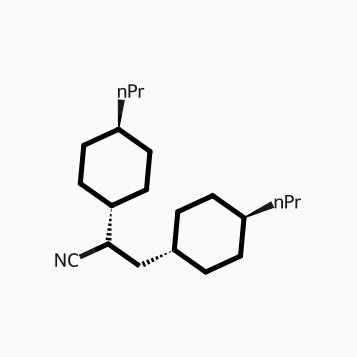 CCC[C@H]1CC[C@H](CC(C#N)[C@H]2CC[C@H](CCC)CC2)CC1